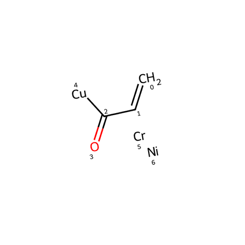 C=C[C](=O)[Cu].[Cr].[Ni]